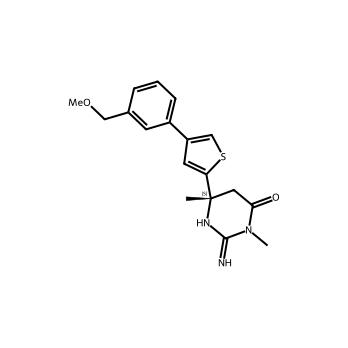 COCc1cccc(-c2csc([C@]3(C)CC(=O)N(C)C(=N)N3)c2)c1